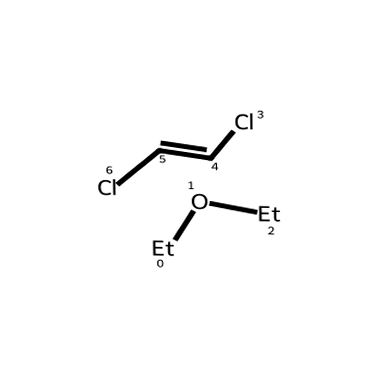 CCOCC.Cl/C=C/Cl